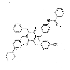 CN(Cc1ccc(NC(=O)c2ccccc2)cc1)C(=O)C(Cc1ccccc1)N(Cc1ccc(N2CCOCC2)cc1)C(=O)C=Cc1ccc(C(F)(F)F)nc1